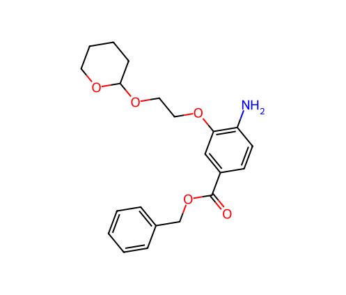 Nc1ccc(C(=O)OCc2ccccc2)cc1OCCOC1CCCCO1